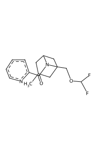 CC1CC2CC(COC(F)F)(C1)N2C(=O)c1ccccn1